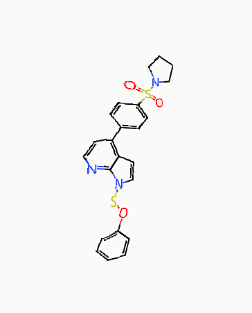 O=S(=O)(c1ccc(-c2ccnc3c2ccn3SOc2ccccc2)cc1)N1CCCC1